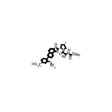 COC(=O)NC(C(=O)N1C[C@@H](C)C[C@H]1c1nc2c(ccc3cc(-c4ccc(C(=O)O)cc4OC(F)(F)F)ccc32)[nH]1)C(C)C